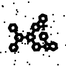 CC1(C)c2ccccc2-c2ccc(-c3nc(-c4cc(-c5ccccc5)cc(-c5ccccc5)c4)nc(-c4cccc(-c5nc6ccccc6n5-c5ccccc5)c4)n3)cc21